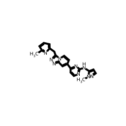 Cc1cccc(Cc2nnc3cc(-c4ccnc(Nc5ccnn5C)n4)ccn23)n1